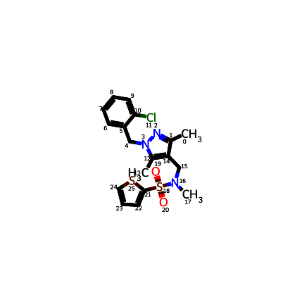 Cc1nn(Cc2ccccc2Cl)c(C)c1CN(C)S(=O)(=O)c1cccs1